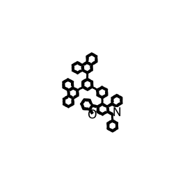 c1ccc(-c2nc3ccccc3c3c(-c4cccc(-c5cc(-c6cc7ccccc7c7ccccc67)cc(-c6cc7ccccc7c7ccccc67)c5)c4)c4c(cc23)oc2ccccc24)cc1